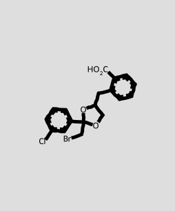 O=C(O)c1ccccc1CC1COC(CBr)(c2cccc(Cl)c2)O1